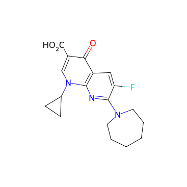 O=C(O)c1cn(C2CC2)c2nc(N3CCCCCC3)c(F)cc2c1=O